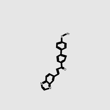 CC(C)Sc1ccc(-c2ccc(C(=O)/C=C/c3ccc4nccnc4c3)cc2)cc1